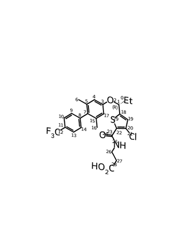 CC[C@@H](Oc1cc(C)c(-c2ccc(C(F)(F)F)cc2)c(C)c1)c1cc(Cl)c(C(=O)NCCC(=O)O)s1